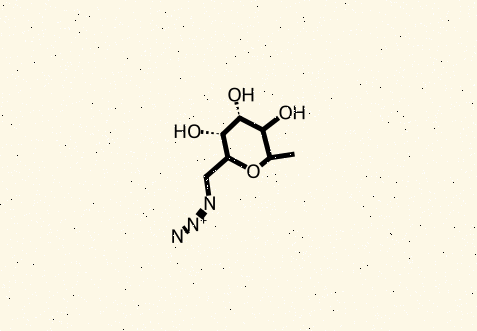 CC1OC(CN=[N+]=[N-])[C@H](O)[C@H](O)C1O